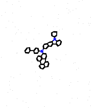 c1ccc(-c2ccc(N(c3ccc(-c4cccc5cccc(-c6ccccc6)c45)cc3)c3ccc4cc5c(cc4c3)c3ccccc3n5-c3ccccc3)cc2)cc1